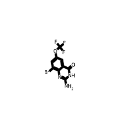 Nc1nc2c(Br)cc(OC(F)(F)F)cc2c(=O)[nH]1